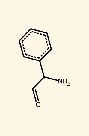 N[C](C=O)c1ccccc1